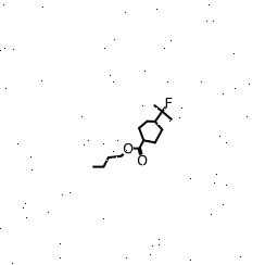 CCCCOC(=O)C1CCC(C(C)(C)F)CC1